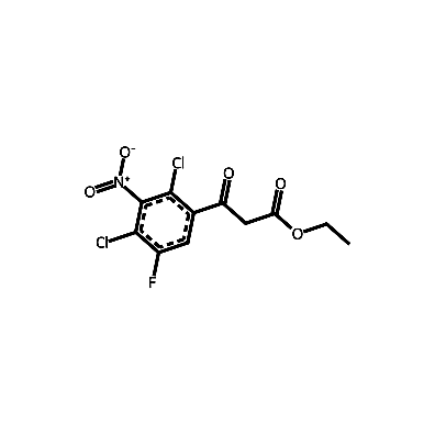 CCOC(=O)CC(=O)c1cc(F)c(Cl)c([N+](=O)[O-])c1Cl